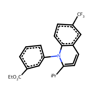 CCOC(=O)c1cccc(N2C(C(C)C)=C=Cc3cc(C(F)(F)F)ccc32)c1